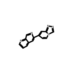 c1cnc2cnc(-c3ccn4cnnc4c3)cc2c1